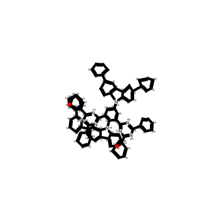 c1ccc(-c2ccc3c(c2)c2cc(-c4ccccc4)ccc2n3-c2cc(-c3nc(-c4ccccc4)nc(-c4ccccc4)n3)c(-n3c4ccccc4c4ccc(-c5cccc(-c6ccccc6)n5)cc43)c(-c3nc(-c4ccccc4)nc(-c4ccccc4)n3)c2)cc1